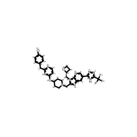 FC(F)(F)c1nnc(-c2cnc3c(c2)nc(CN2CCC(Oc4ccnc(Cc5ccc(Cl)cc5)n4)CC2)n3C[C@@H]2CCO2)[nH]1